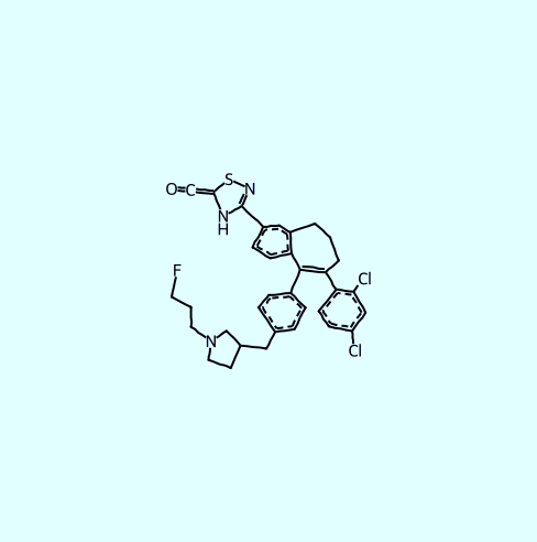 O=C=C1NC(c2ccc3c(c2)CCCC(c2ccc(Cl)cc2Cl)=C3c2ccc(CC3CCN(CCCF)C3)cc2)=NS1